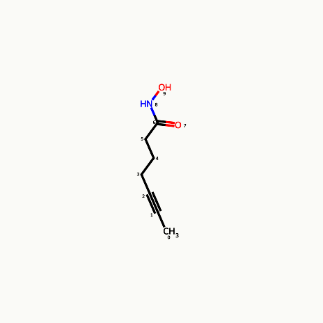 CC#CCCCC(=O)NO